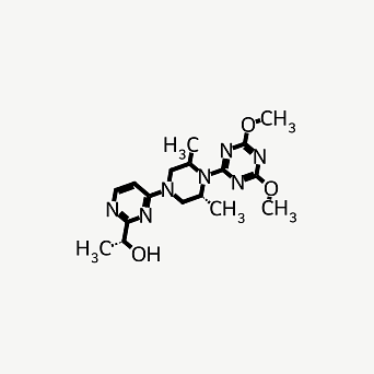 COc1nc(OC)nc(N2C(C)CN(c3ccnc([C@@H](C)O)n3)C[C@H]2C)n1